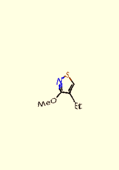 CCc1csnc1OC